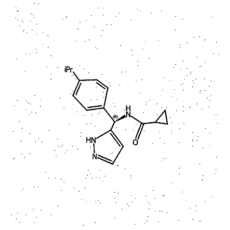 CC(C)c1ccc([C@@H](NC(=O)C2CC2)c2ccn[nH]2)cc1